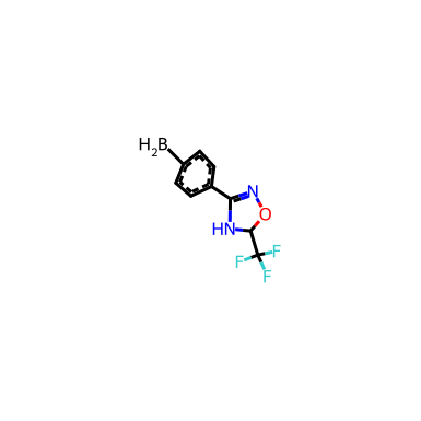 Bc1ccc(C2=NOC(C(F)(F)F)N2)cc1